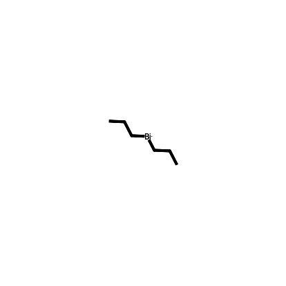 CC[CH2][Bi][CH2]CC